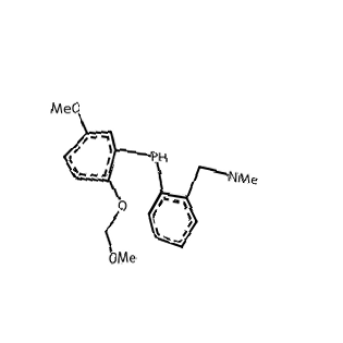 CNCc1ccccc1Pc1cc(OC)ccc1OCOC